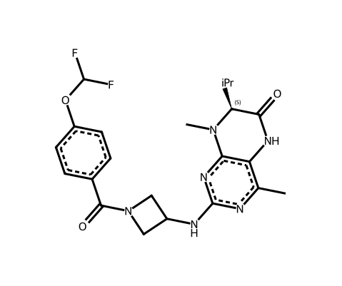 Cc1nc(NC2CN(C(=O)c3ccc(OC(F)F)cc3)C2)nc2c1NC(=O)[C@H](C(C)C)N2C